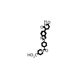 O=C1CCC(c2ccc3nn([C@H]4CC[C@H](C(=O)N5CCC(C(=O)O)CC5)CC4)cc3c2)C(=O)N1